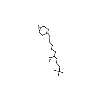 CO[C@@H](CCCCCN1CCN(C)CC1)CCCC(C)(C)C